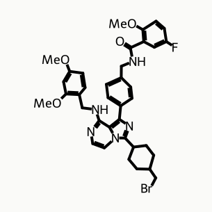 COc1ccc(CNc2nccn3c(C4CCC(CBr)CC4)nc(-c4ccc(CNC(=O)c5cc(F)ccc5OC)cc4)c23)c(OC)c1